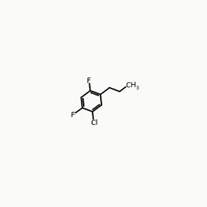 CCCc1cc(Cl)c(F)cc1F